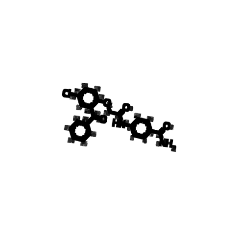 NC(=O)c1ccc(NC(=O)COc2ccc(Cl)cc2C(=O)c2ccccc2)cc1